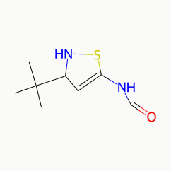 CC(C)(C)C1C=C(NC=O)SN1